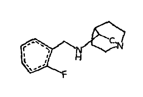 Fc1ccccc1CNC1CN2CCC1CC2